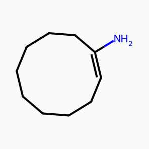 NC1=CCCCCCCCC1